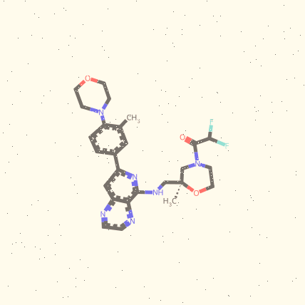 Cc1cc(-c2cc3nccnc3c(NC[C@@]3(C)CN(C(=O)C(F)F)CCO3)n2)ccc1N1CCOCC1